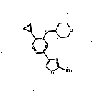 CC(C)(C)c1nc(-c2cc(OC3CCOCC3)c(C3CC3)cn2)no1